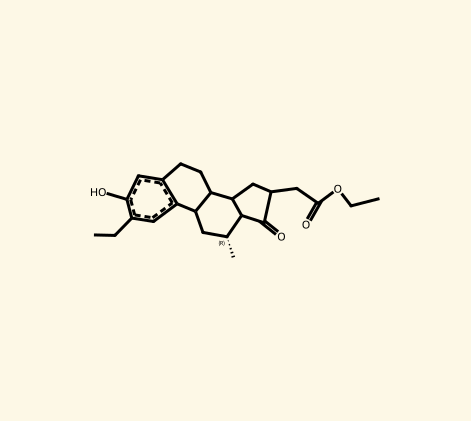 CCOC(=O)CC1CC2C3CCc4cc(O)c(CC)cc4C3C[C@@H](C)C2C1=O